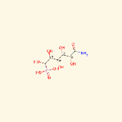 NC(=O)[C@H](O)[C@@H](O)[C@H](O)[C@H](O)C(O)P(=O)(O)O